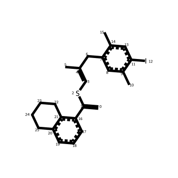 C=C(S/C=C(\C)Cc1cc(C)c(I)cc1C)c1cccc2c1CCCC2